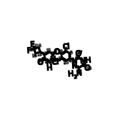 Nc1nn(-c2cc(Cl)c(Oc3cc(C4CC(F)(F)C4)c(=O)[nH]n3)c(Cl)c2)c(=O)[nH]c1=O